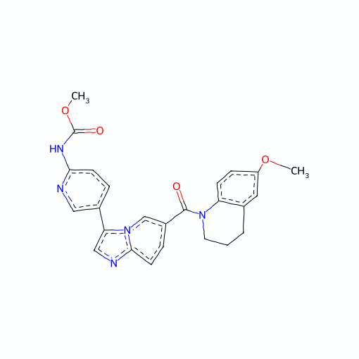 COC(=O)Nc1ccc(-c2cnc3ccc(C(=O)N4CCCc5cc(OC)ccc54)cn23)cn1